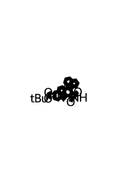 CC(C)(C)OC(=O)N1CCn2cc(C3=C(c4cn5c6c(cccc46)CCC5)C(=O)NC3=O)c3cccc(c32)C1